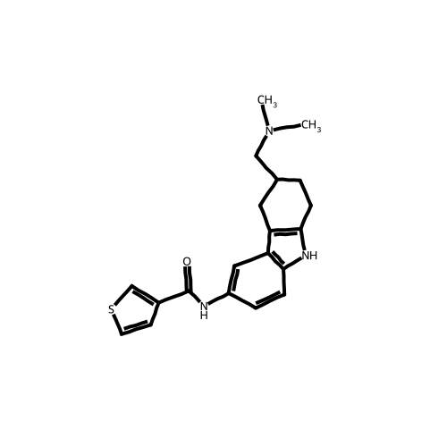 CN(C)CC1CCc2[nH]c3ccc(NC(=O)c4ccsc4)cc3c2C1